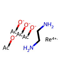 CC(=O)[O-].CC(=O)[O-].CC(=O)[O-].CC(=O)[O-].NCCN.[Re+4]